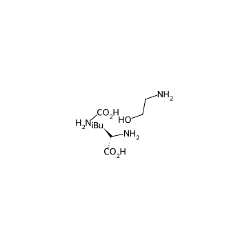 CC[C@H](C)[C@H](N)C(=O)O.NC(=O)O.NCCO